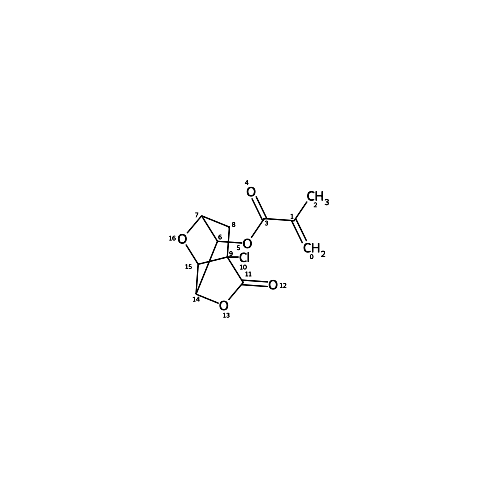 C=C(C)C(=O)OC1C2CC3(Cl)C(=O)OC1C3O2